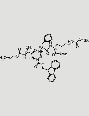 C=CCOC(=O)N[C@@H](C)C(=O)NN(SN[C@H](Cc1ccccc1)C(=O)N[C@@H](CCCCNC(=O)OC(C)(C)C)C(=O)NC)C(=O)OCC1c2ccccc2-c2ccccc21